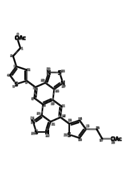 CC(=O)OCCc1csc(-c2cc3c(cc(-c4cc(CCOC(C)=O)cs4)c4nsnc43)c3nsnc23)c1